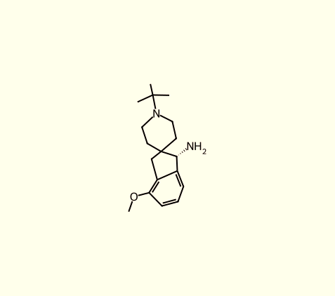 COc1cccc2c1CC1(CCN(C(C)(C)C)CC1)[C@@H]2N